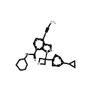 CC#Cc1ccc(C(=O)NC2CCCCC2)c2c1cnn2C1(c2ccc(C3CC3)cc2)COC1